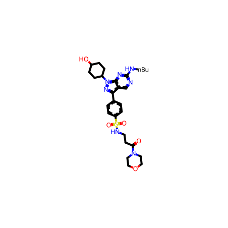 CCCCNc1ncc2c(-c3ccc(S(=O)(=O)NCCC(=O)N4CCOCC4)cc3)nn(C3CCC(O)CC3)c2n1